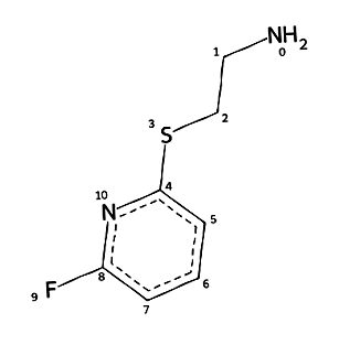 NCCSc1cccc(F)n1